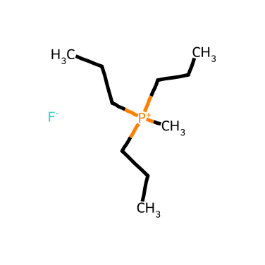 CCC[P+](C)(CCC)CCC.[F-]